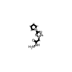 NNC(=O)Cn1nnc(N2CCCC2)n1